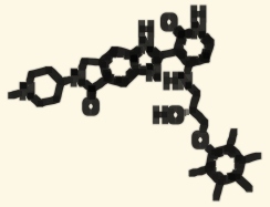 Cc1c(C)c(C)c(OC[C@H](O)CNc2cc[nH]c(=O)c2-c2nc3cc4c(cc3[nH]2)CN(C2CCN(C)CC2)C4=O)c(C)c1C